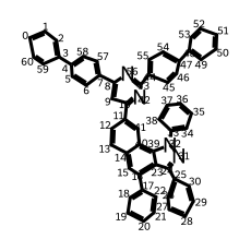 c1ccc(-c2ccc(-c3cc(-c4ccc5cc(-c6ccccc6)c6c(-c7ccccc7)nn(-c7ccccc7)c6c5c4)nc(-c4ccc(-c5ccccc5)cc4)n3)cc2)cc1